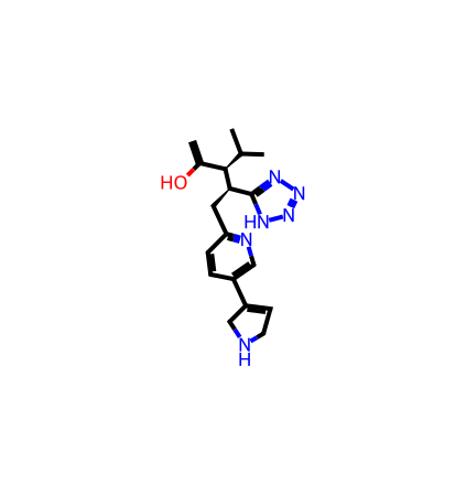 C=C(O)[C@@H](C(C)C)[C@H](Cc1ccc(C2=CCNC2)cn1)c1nnn[nH]1